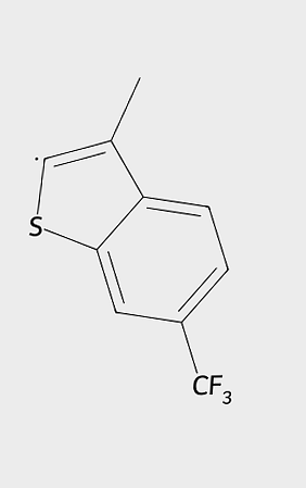 Cc1[c]sc2cc(C(F)(F)F)ccc12